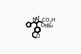 Cn1nc(C2=CCCC2)c(-c2ccc3c(c2)CCCO3)c1C(OC(C)(C)C)C(=O)O